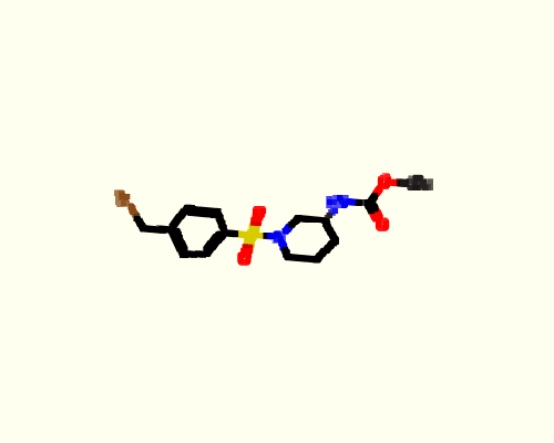 CC(C)(C)OC(=O)N[C@@H]1CCCN(S(=O)(=O)c2ccc(CBr)cc2)C1